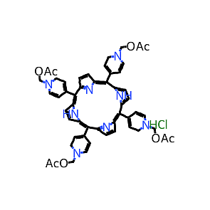 CC(=O)OCN1C=CC(c2c3nc(c(C4=CCN(COC(C)=O)C=C4)c4ccc([nH]4)c(C4=CCN(COC(C)=O)C=C4)c4nc(c(C5=CCN(COC(C)=O)C=C5)c5ccc2[nH]5)C=C4)C=C3)=CC1.Cl